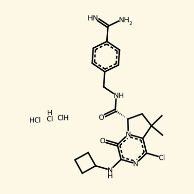 CC1(C)C[C@@H](C(=O)NCc2ccc(C(=N)N)cc2)n2c1c(Cl)nc(NC1CCC1)c2=O.Cl.Cl.Cl